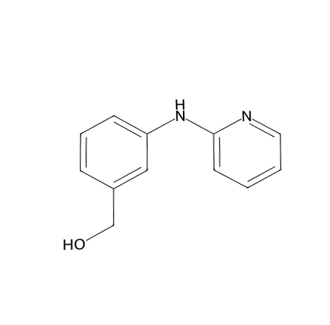 OCc1cccc(Nc2ccccn2)c1